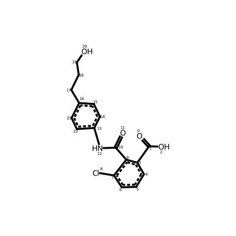 O=C(O)c1cccc(Cl)c1C(=O)Nc1ccc(CCCO)cc1